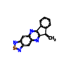 C=C1c2ccccc2-c2nc3cc4nsnc4cc3nc21